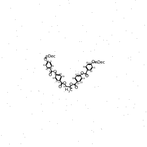 CCCCCCCCCCOc1ccc(C(=O)Oc2ccc(C(=O)OCC(C)OC(=O)c3ccc(OC(=O)c4ccc(OCCCCCCCCCC)cc4)cc3)cc2)cc1